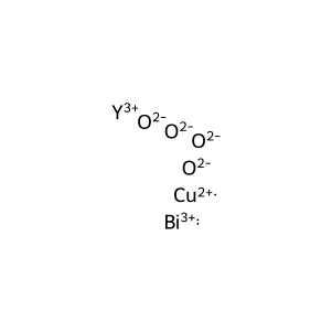 [Bi+3].[Cu+2].[O-2].[O-2].[O-2].[O-2].[Y+3]